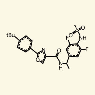 CC(NC(=O)c1coc(-c2ccc(C(C)(C)C)cc2)n1)c1cc(F)c(NS(C)(=O)=O)c(F)c1